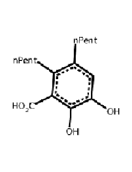 CCCCCc1cc(O)c(O)c(C(=O)O)c1CCCCC